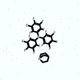 C1CN2CCC1CC2.Fc1c(F)c(F)c(B(c2c(F)c(F)c(F)c(F)c2F)c2c(F)c(F)c(F)c(F)c2F)c(F)c1F